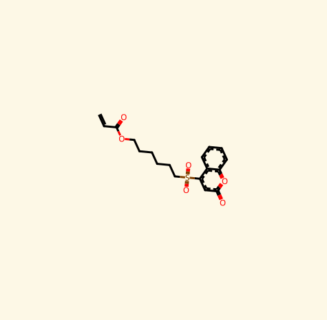 C=CC(=O)OCCCCCCS(=O)(=O)c1cc(=O)oc2ccccc12